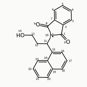 O=C1c2ccccc2C(=O)N1C(CCO)c1cccc2ccccc12